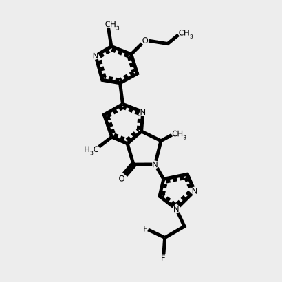 CCOc1cc(-c2cc(C)c3c(n2)C(C)N(c2cnn(CC(F)F)c2)C3=O)cnc1C